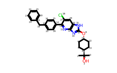 CC(C)(O)[C@H]1CC[C@H](Oc2nc3nc(-c4ccc(Cc5ccccc5)cc4)c(Cl)cc3[nH]2)CC1